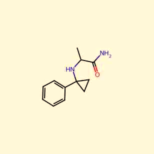 CC(NC1(c2ccccc2)CC1)C(N)=O